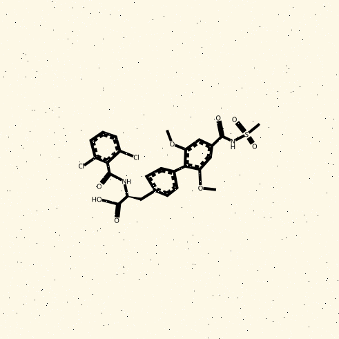 COc1cc(C(=O)NS(C)(=O)=O)cc(OC)c1-c1ccc(C[C@H](NC(=O)c2c(Cl)cccc2Cl)C(=O)O)cc1